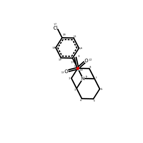 C=C1CC2CCCC(C1)N2S(=O)(=O)c1ccc(Cl)cc1